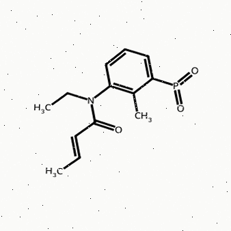 C/C=C/C(=O)N(CC)c1cccc(P(=O)=O)c1C